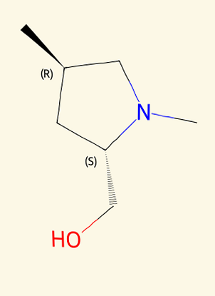 C[C@@H]1C[C@@H](CO)N(C)C1